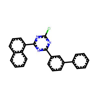 Clc1nc(-c2cccc(-c3ccccc3)c2)nc(-c2cccc3ccccc23)n1